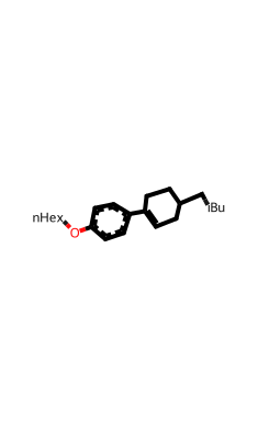 CCCCCCOc1ccc(C2=CCC(CC(C)CC)CC2)cc1